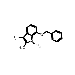 Cc1c(C)n(C)c2c(OCc3ccccc3)cccc12